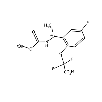 C[C@@H](NC(=O)OC(C)(C)C)c1cc(F)ccc1OC(F)(F)C(=O)O